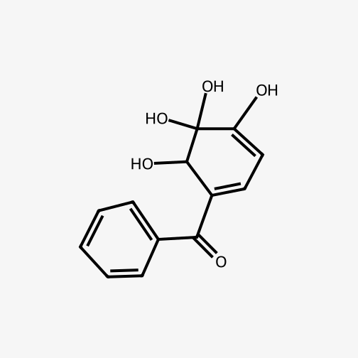 O=C(C1=CC=C(O)C(O)(O)C1O)c1ccccc1